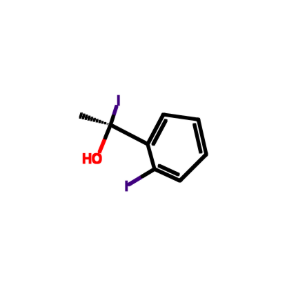 C[C@](O)(I)c1ccccc1I